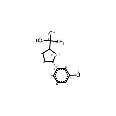 CC(C)(O)C1CC[C@@H](c2cccc(Cl)c2)N1